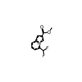 COC(=O)c1cc2cccc(C(F)F)n2c1